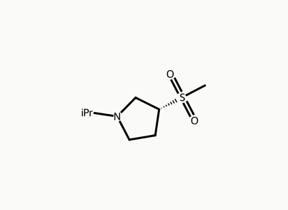 CC(C)N1CC[C@@H](S(C)(=O)=O)C1